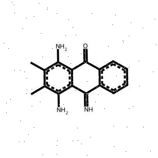 Cc1c(C)c(N)c2c(c1N)C(=N)c1ccccc1C2=O